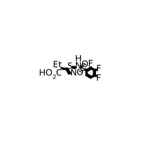 CCC(C(=O)O)c1cnc(NS(=O)(=O)c2ccc(F)c(F)c2F)s1